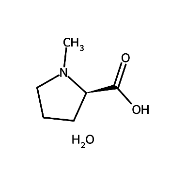 CN1CCC[C@@H]1C(=O)O.O